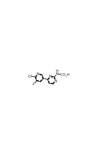 O=C(O)Nc1nccc(-c2cnc(Cl)c(F)c2)n1